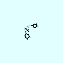 CC1(Cc2ccc(F)c(Cl)c2)SC(Nc2ccc(Cl)c(Cl)c2)=NC1=O